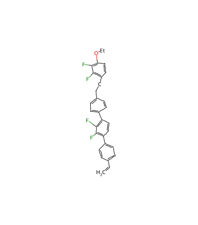 C=Cc1ccc(-c2ccc(-c3ccc(CCc4ccc(OCC)c(F)c4F)cc3)c(F)c2F)cc1